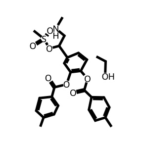 CCO.CNCC(OS(C)(=O)=O)c1ccc(OC(=O)c2ccc(C)cc2)c(OC(=O)c2ccc(C)cc2)c1